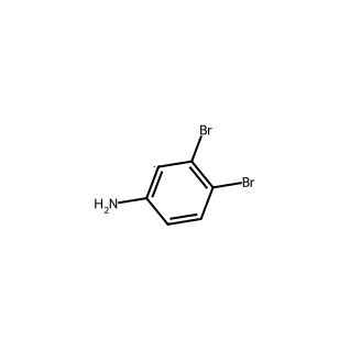 Nc1[c]c(Br)c(Br)cc1